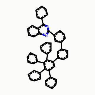 c1ccc(-c2cc(-c3cccc(-c4cccc(-c5nc(-c6ccccc6)c6ccccc6n5)c4)c3)c(-c3ccccc3)c(-c3ccccc3)c2-c2ccccc2)cc1